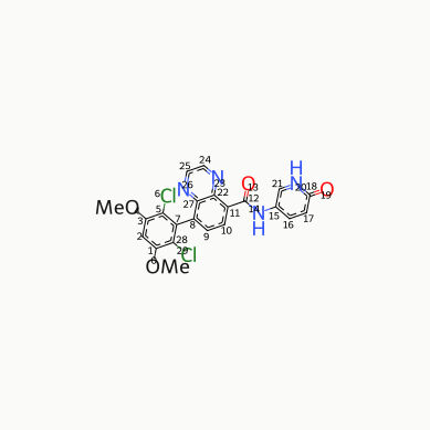 COc1cc(OC)c(Cl)c(-c2ccc(C(=O)Nc3ccc(=O)[nH]c3)c3nccnc23)c1Cl